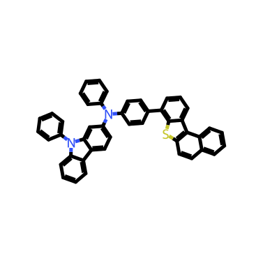 c1ccc(N(c2ccc(-c3cccc4c3sc3ccc5ccccc5c34)cc2)c2ccc3c4ccccc4n(-c4ccccc4)c3c2)cc1